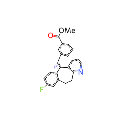 COC(=O)c1cccc(/C=C2/c3ccc(F)cc3CCc3ncccc32)c1